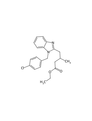 CCOC(=O)CC(C)Cc1nc2ccccc2n1Cc1ccc(Cl)cc1